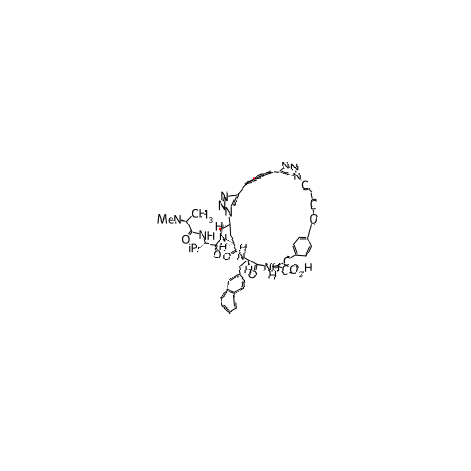 CN[C@@H](C)C(=O)N[C@H](C(=O)N1C[C@@H]2C[C@H]1C(=O)N[C@@H](Cc1ccc3ccccc3c1)C(=O)N[C@H](C(=O)O)Cc1ccc(cc1)OCCCn1cc(nn1)-c1ccc(cc1)-c1cn2nn1)C(C)C